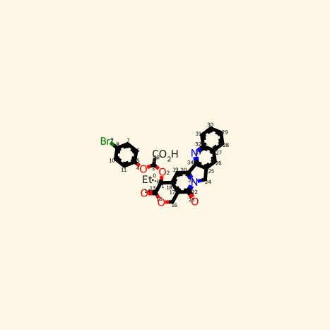 CC[C@@]1(OC(Oc2ccc(Br)cc2)C(=O)O)C(=O)OCc2c1cc1n(c2=O)Cc2cc3ccccc3nc2-1